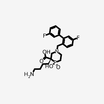 NCCCC[C@@]1(C(=O)O)CN(Cc2ccc(F)cc2-c2cccc(F)c2)CCP1(=O)O